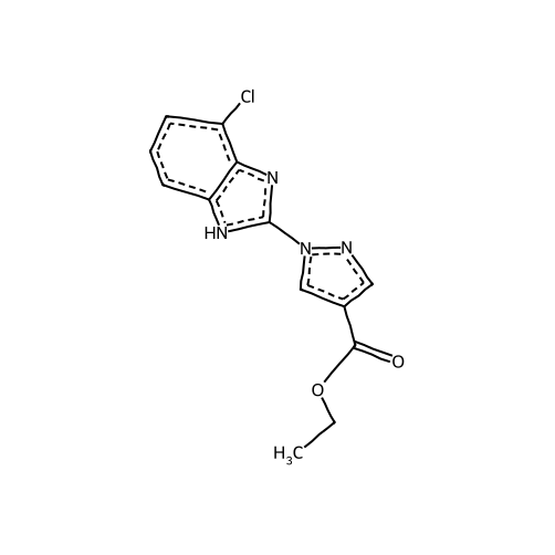 CCOC(=O)c1cnn(-c2nc3c(Cl)cccc3[nH]2)c1